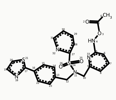 CC(=O)ONc1cccc(CN(Cc2ccc(-c3nccs3)cc2)S(=O)(=O)c2ccccn2)n1